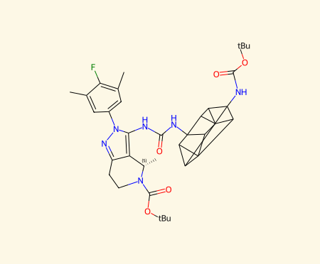 Cc1cc(-n2nc3c(c2NC(=O)NC24C5C6C7(NC(=O)OC(C)(C)C)C8C2C82C4C56C72)[C@H](C)N(C(=O)OC(C)(C)C)CC3)cc(C)c1F